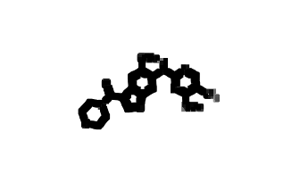 CNc1nc(Nc2cc3occ(C(=O)N4CCOCC4)c3cc2OC)ncc1C(F)(F)F